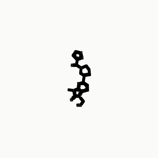 Cn1c(=O)n(CC(C)(C)C)c2ccc(C3=CCCN(C(=O)c4ccon4)C3)nc21